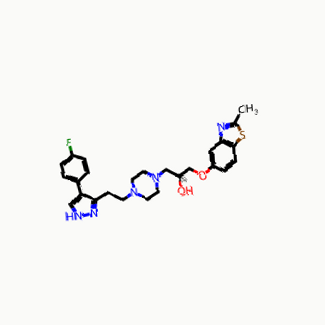 Cc1nc2cc(OC[C@@H](O)CN3CCN(CCc4n[nH]cc4-c4ccc(F)cc4)CC3)ccc2s1